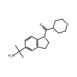 CC(C)(N)c1ccc2c(c1)CCN2C(=O)C1CCOCC1